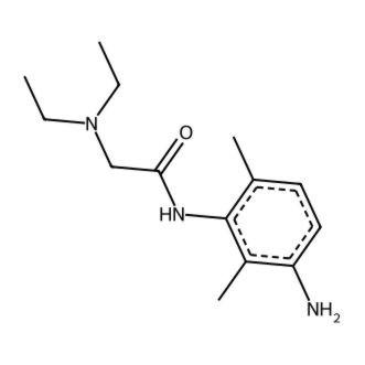 CCN(CC)CC(=O)Nc1c(C)ccc(N)c1C